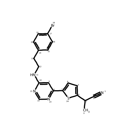 CC(C#N)c1ccc(-c2cc(NCCc3ccc(Br)cc3)ncn2)s1